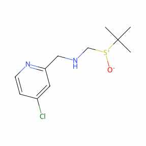 CC(C)(C)[S+]([O-])CNCc1cc(Cl)ccn1